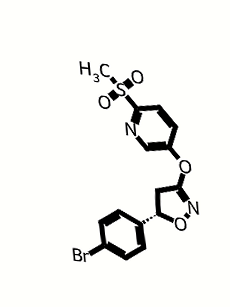 CS(=O)(=O)c1ccc(OC2=NO[C@H](c3ccc(Br)cc3)C2)cn1